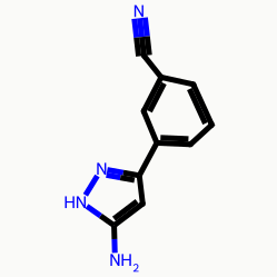 N#Cc1cccc(-c2cc(N)[nH]n2)c1